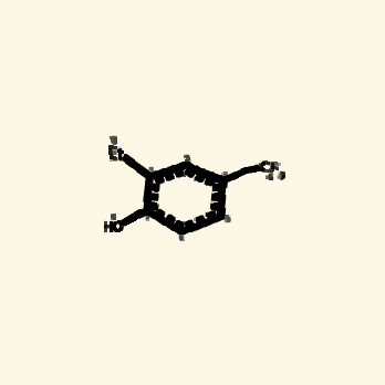 CCc1cc(C(F)(F)F)ccc1O